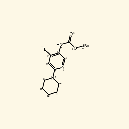 CC(C)(C)OC(=O)Nc1cnc(N2CCCCC2)cc1I